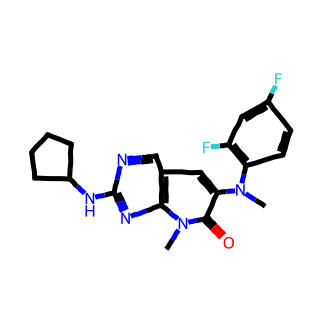 CN(c1ccc(F)cc1F)c1cc2cnc(NC3CCCC3)nc2n(C)c1=O